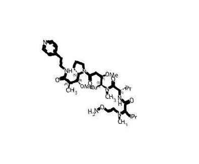 CC[C@H](C)[C@@H]([C@@H](CC(=O)N1CCC[C@H]1[C@H](OC)[C@@H](C)C(=O)NCCc1ccncc1)OC)N(C)C(=O)[C@@H](NC(=O)C(C(C)C)N(C)CCON)C(C)C